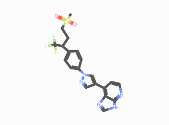 CS(=O)(=O)CCC(c1ccc(-n2cc(-c3ccnc4[nH]cnc34)cn2)cc1)C(F)(F)F